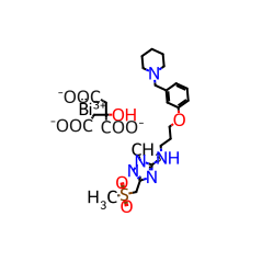 Cn1nc(CS(C)(=O)=O)nc1NCCCOc1cccc(CN2CCCCC2)c1.O=C([O-])CC(O)(CC(=O)[O-])C(=O)[O-].[Bi+3]